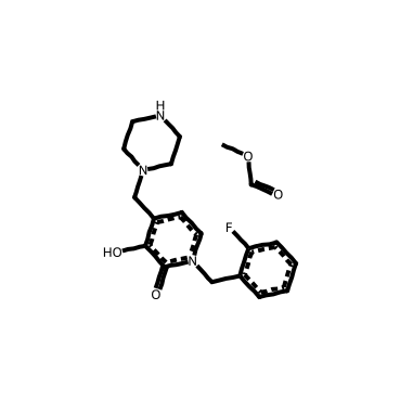 COC=O.O=c1c(O)c(CN2CCNCC2)ccn1Cc1ccccc1F